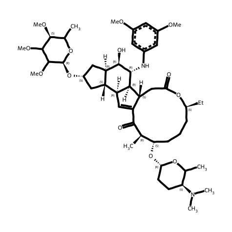 CC[C@H]1CCC[C@H](O[C@H]2CC[C@H](N(C)C)C(C)O2)[C@@H](C)C(=O)C2=C[C@H]3[C@@H]4C[C@H](O[C@@H]5OC(C)[C@H](OC)C(OC)C5OC)C[C@H]4[C@@H](O)[C@H](Nc4cc(OC)cc(OC)c4)[C@H]3[C@@H]2CC(=O)O1